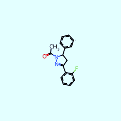 CC(=O)N1N=C(c2ccccc2F)CC1c1c[c]ccc1